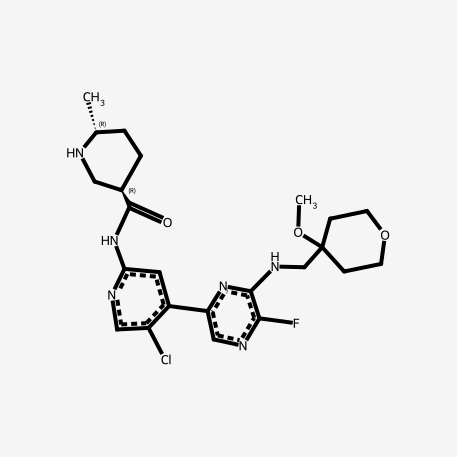 COC1(CNc2nc(-c3cc(NC(=O)[C@@H]4CC[C@@H](C)NC4)ncc3Cl)cnc2F)CCOCC1